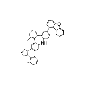 Cc1cccc2c1-c1cc(C3=C(C4=CC=CCC4C)CC=C3)ccc1Nc1ccc(-c3cccc4oc5ccccc5c34)cc1-2